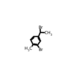 Cc1ccc(C(C)Br)cc1Br